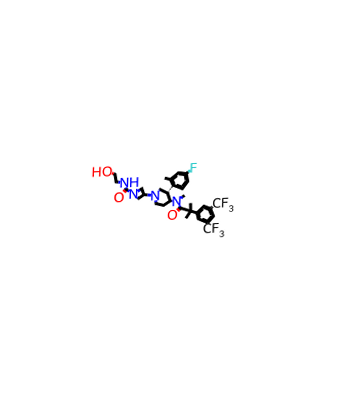 Cc1cc(F)ccc1[C@H]1CN(C2CN(C(=O)NCCO)C2)CC[C@@H]1N(C)C(=O)C(C)(C)c1cc(C(F)(F)F)cc(C(F)(F)F)c1